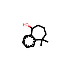 CC1(C)CCCC(O)c2ccccc21